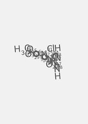 COC(=O)c1ccc(-c2ccc(-n3c(=O)n(C4CCNC4)c4ncccc43)cn2)cc1.Cl